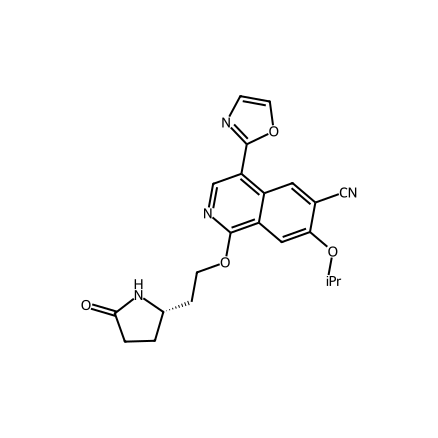 CC(C)Oc1cc2c(OCC[C@@H]3CCC(=O)N3)ncc(-c3ncco3)c2cc1C#N